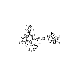 COC(=O)[C@@H]1C[C@H](OCC(=O)OC(C)(C)C)CN1c1cc(-n2ccnc2)c2ccc(Cl)c(Cl)c2c1